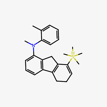 Cc1ccccc1N(C)c1cccc2c1CC1=C2CCC=C1[SH](C)(C)(C)C